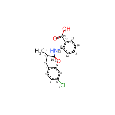 CC(Cc1ccc(Cl)cc1)C(=O)Nc1ccccc1C(=O)O